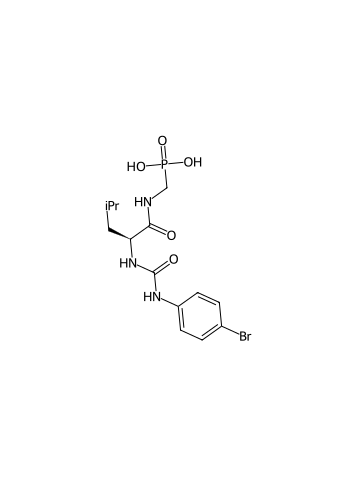 CC(C)C[C@H](NC(=O)Nc1ccc(Br)cc1)C(=O)NCP(=O)(O)O